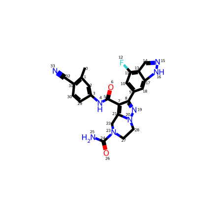 Cc1cc(NC(=O)c2c(-c3cc(F)c4cn[nH]c4c3)nn3c2CN(C(N)=O)CC3)ccc1C#N